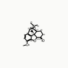 C#C[C@]12c3c4ccc(OC)c3OC1C(=O)CCC2(O)[C@H](N(C)C)C4